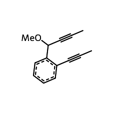 CC#Cc1ccccc1C(C#CC)OC